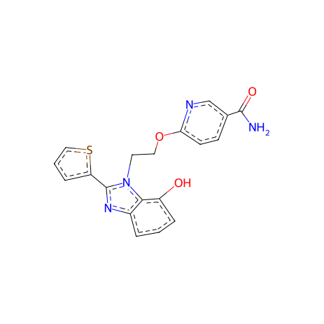 NC(=O)c1ccc(OCCn2c(-c3cccs3)nc3cccc(O)c32)nc1